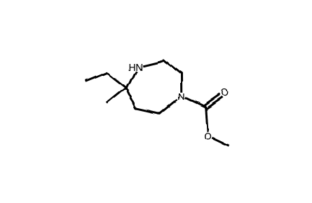 CCC1(C)CCN(C(=O)OC)CCN1